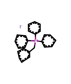 [I-].c1ccc(C[P+](c2ccccc2)(c2ccccc2)c2ccccc2)cc1